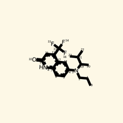 CCCN(c1ccc2[nH]c(=O)cc(C(F)(F)F)c2c1)C(C)C(C)C